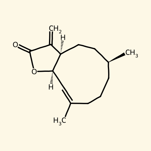 C=C1C(=O)O[C@@H]2/C=C(\C)CCC[C@H](C)CC[C@H]12